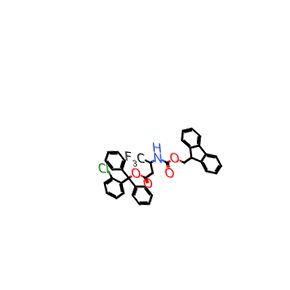 O=C(CC(NC(=O)OCC1c2ccccc2-c2ccccc21)C(F)(F)F)OC(c1ccccc1)(c1ccccc1)c1ccccc1Cl